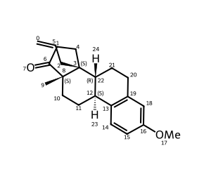 C=CC[C@]12CCC(=O)[C@@]1(C)CC[C@@H]1c3ccc(OC)cc3CC[C@H]12